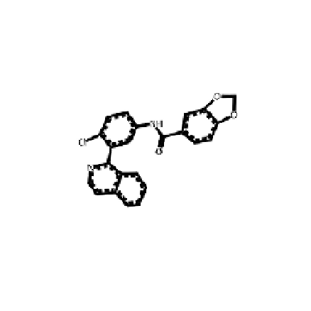 O=C(Nc1ccc(Cl)c(-c2nccc3ccccc23)c1)c1ccc2c(c1)OCO2